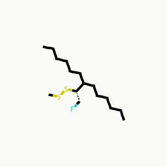 CCCCCCC(CCCCCC)[C@H](CF)SSC